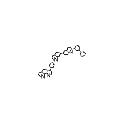 c1ccc(-c2cccc(-c3ccc4cc(-c5ccc6ccc(-c7ccc(-c8ccnc9c8ccc8cccnc89)cc7)nc6c5)ccc4n3)c2)cc1